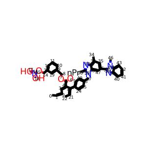 C\C=C/C=C(C(=O)OCc1cccc(CON(O)O)c1)\C(=C/C)c1ccc(Cn2c(CCC)nc3c(C)cc(-c4nc5ccccc5n4C)cc32)cc1